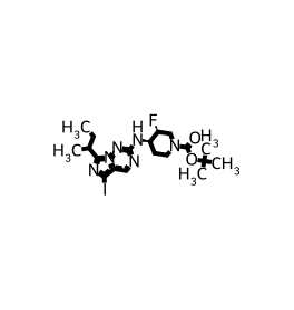 CCC(C)c1nc(I)c2cnc(N[C@@H]3CCN(C(=O)OC(C)(C)C)C[C@H]3F)nn12